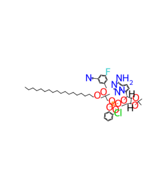 CCCCCCCCCCCCCCCCCCOCC(C)(COP(=O)(OC[C@@]1(C)O[C@@H](c2ccc3c(N)ncnn23)[C@@H]2OC(C)(C)O[C@@H]21)Oc1ccccc1Cl)OCc1cc(F)cc(C#N)c1